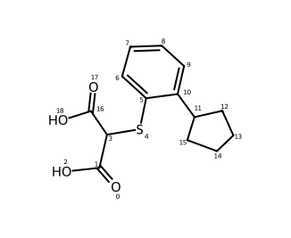 O=C(O)C(Sc1ccccc1C1CCCC1)C(=O)O